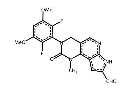 COc1cc(OC)c(F)c(N2Cc3cnc4[nH]c(C=O)cc4c3N(C)C2=O)c1F